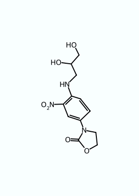 O=C1OCCN1c1ccc(NCC(O)CO)c([N+](=O)[O-])c1